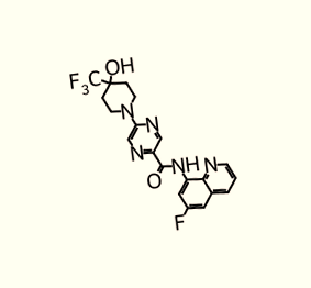 O=C(Nc1cc(F)cc2cccnc12)c1cnc(N2CCC(O)(C(F)(F)F)CC2)cn1